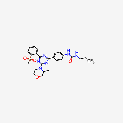 CC1COCCN1c1nc(-c2ccc(NC(=O)NCCC(F)(F)F)cc2)nc(-c2ccccc2S(C)(=O)=O)n1